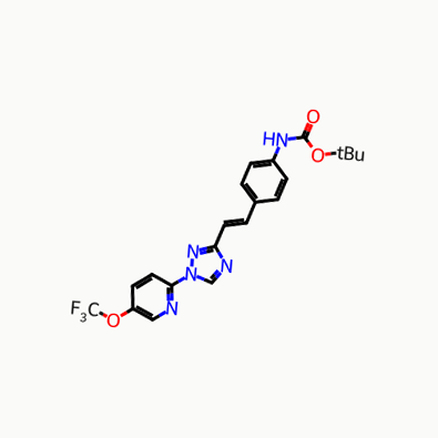 CC(C)(C)OC(=O)Nc1ccc(C=Cc2ncn(-c3ccc(OC(F)(F)F)cn3)n2)cc1